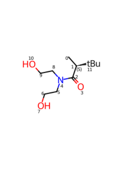 C[C@H](C(=O)N(CCO)CCO)C(C)(C)C